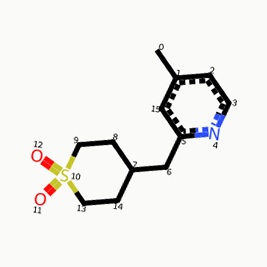 Cc1ccnc(CC2CCS(=O)(=O)CC2)c1